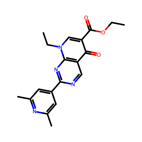 CCOC(=O)c1cn(CC)c2nc(-c3cc(C)nc(C)c3)ncc2c1=O